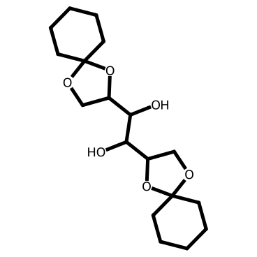 OC(C1COC2(CCCCC2)O1)C(O)C1COC2(CCCCC2)O1